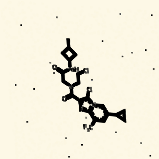 CC1CC([AsH]C(=O)CN(CCCl)C(=O)c2nc3c(C(F)(F)F)cc(C4CC4)cn3c2Cl)C1